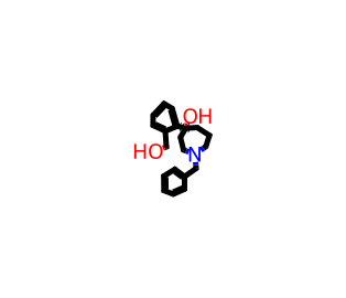 OCc1ccccc1[C@]1(O)CCCN(Cc2ccccc2)CC1